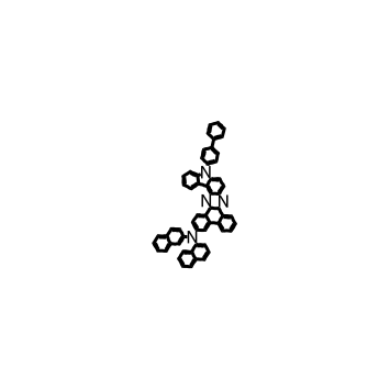 c1ccc(-c2ccc(-n3c4ccccc4c4c5nc6c7ccc(N(c8ccc9ccccc9c8)c8cccc9ccccc89)cc7c7ccccc7c6nc5ccc43)cc2)cc1